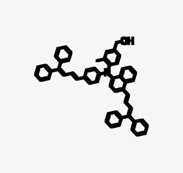 Cc1cc(CO)ccc1N(c1ccc(/C=C/C=C(c2ccccc2)c2ccccc2)cc1)c1ccc(/C=C/C=C(c2ccccc2)c2ccccc2)c2ccccc12